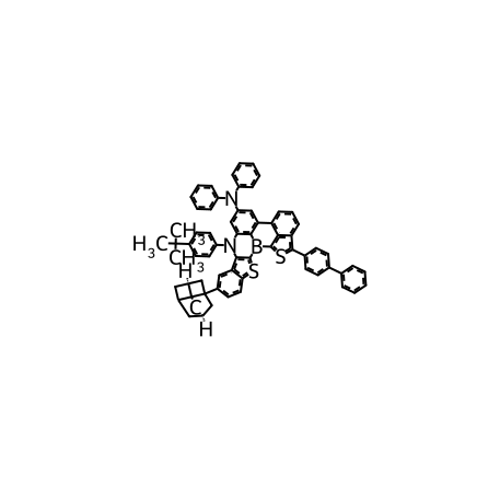 CC(C)(C)c1ccc(N2c3cc(N(c4ccccc4)c4ccccc4)cc4c3B(c3sc5ccc(C67C[C@H]8CC9C[C@@H](C6)C97C8)cc5c32)c2sc(-c3ccc(-c5ccccc5)cc3)c3cccc-4c23)cc1